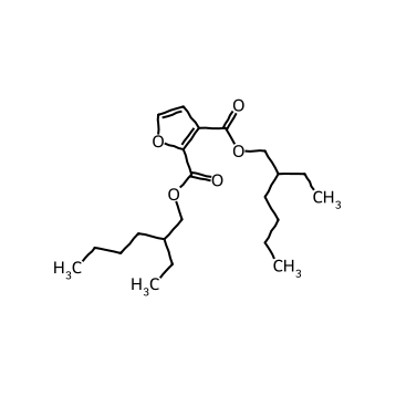 CCCCC(CC)COC(=O)c1ccoc1C(=O)OCC(CC)CCCC